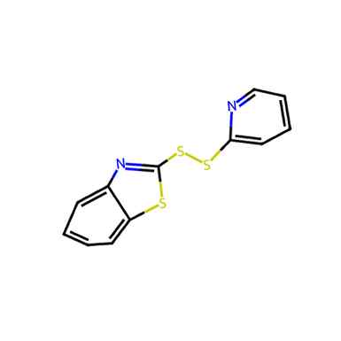 c1ccc(SSc2nc3ccccc3s2)nc1